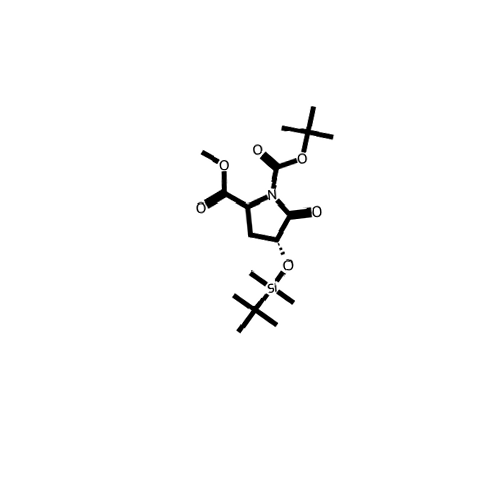 COC(=O)C1C[C@@H](O[Si](C)(C)C(C)(C)C)C(=O)N1C(=O)OC(C)(C)C